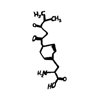 CC(C)C(=O)CC(=O)C1C=CC(CC(N)C(=O)O)=CC1